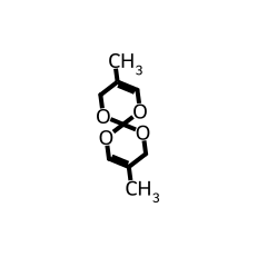 CC1=COC2(OC=C(C)CO2)OC1